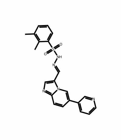 Cc1cccc(S(=O)(=O)NN=Cc2cnc3ccc(-c4cccnc4)cn23)c1C